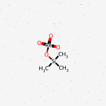 C[Si](C)(C)[O][Re](=[O])(=[O])=[O]